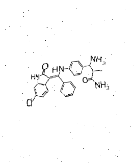 CC(C(N)=O)C(N)c1ccc(N/C(=C2\C(=O)Nc3cc(Cl)ccc32)c2ccccc2)cc1